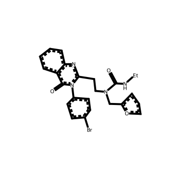 CCNC(=O)N(CCc1nc2ccccc2c(=O)n1-c1ccc(Br)cc1)Cc1ccco1